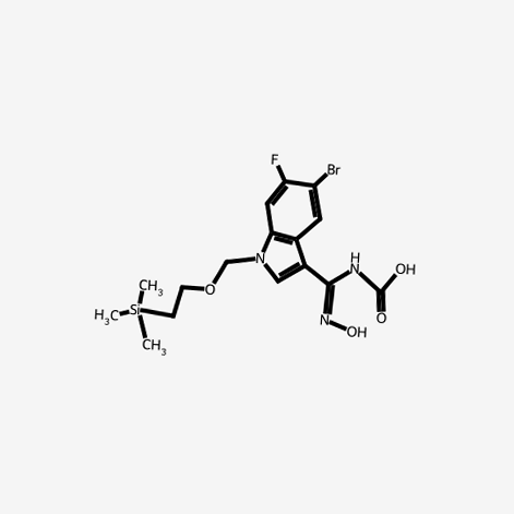 C[Si](C)(C)CCOCn1cc(/C(=N/O)NC(=O)O)c2cc(Br)c(F)cc21